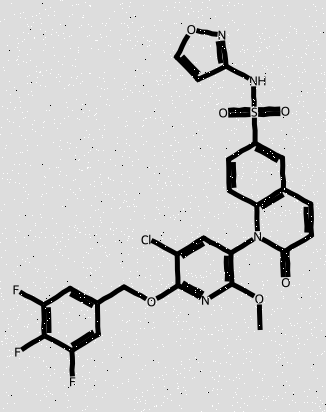 COc1nc(OCc2cc(F)c(F)c(F)c2)c(Cl)cc1-n1c(=O)ccc2cc(S(=O)(=O)Nc3ccon3)ccc21